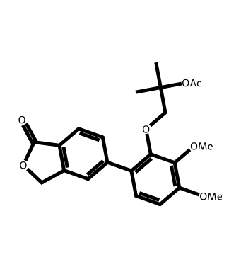 COc1ccc(-c2ccc3c(c2)COC3=O)c(OCC(C)(C)OC(C)=O)c1OC